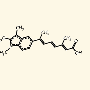 CC(/C=C/C=C(\C)c1ccc2c(c1)c(C)c(C)n2C)=C\C(=O)O